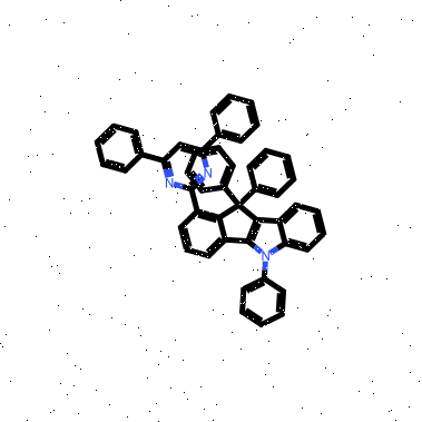 c1ccc(-c2cc(-c3ccccc3)nc(-c3cccc4c3C(c3ccccc3)(c3ccccc3)c3c-4n(-c4ccccc4)c4ccccc34)n2)cc1